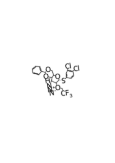 [N-]=[N+]=NC1C(OCC(F)(F)F)[C@@H](Sc2ccc(Cl)c(Cl)c2)OC2COC(c3ccccc3)O[C@@H]21